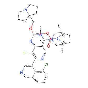 CC(C)(C)OC(=O)N1[C@@H]2CC[C@H]1CN(c1nc(OCC34CCCN3CCC4)nc3c(F)c(-c4cncc5cccc(Cl)c45)ncc13)C2